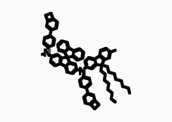 CCCCCCCCC1(CCCCCCCC)c2cc(C)ccc2-c2ccc(N(c3ccc(-c4ccc5c(c4)CC5)cc3)c3ccc4c(c3)C3(c5ccccc5-c5ccccc53)c3cc(N(C)c5ccc(-c6ccc7c(c6)CC7)cc5)ccc3-4)cc21